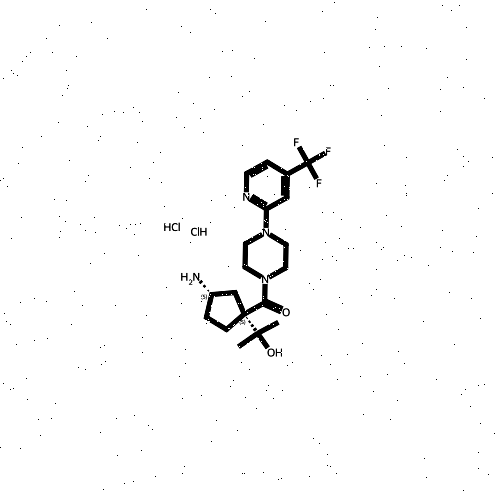 CC(C)(O)[C@]1(C(=O)N2CCN(c3cc(C(F)(F)F)ccn3)CC2)CC[C@H](N)C1.Cl.Cl